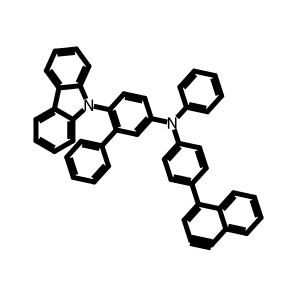 c1cc(-c2ccc(N(c3ccccc3)c3ccc(-n4c5ccccc5c5ccccc54)c(-c4ccccc4)c3)cc2)c2ccccc2c#1